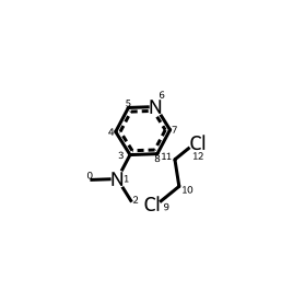 CN(C)c1ccncc1.ClCCCl